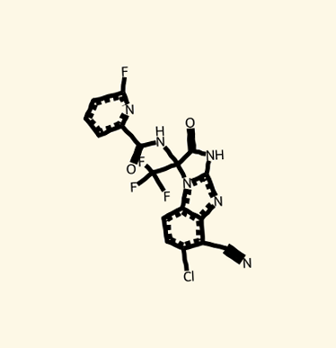 N#Cc1c(Cl)ccc2c1nc1n2C(NC(=O)c2cccc(F)n2)(C(F)(F)F)C(=O)N1